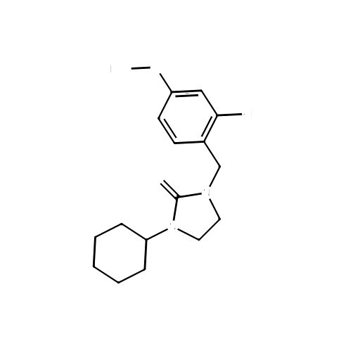 COc1ccc(CN2CCN(C3CCCCC3)C2=O)c(Cl)c1